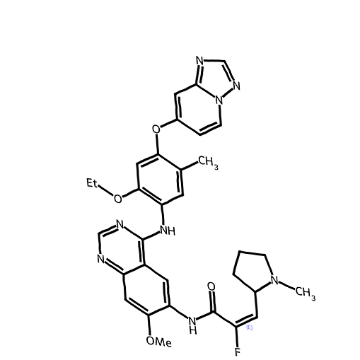 CCOc1cc(Oc2ccn3ncnc3c2)c(C)cc1Nc1ncnc2cc(OC)c(NC(=O)/C(F)=C\C3CCCN3C)cc12